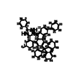 CC1C=C(C2NC(c3ccccc3)NN2n2c3ccc(-c4ccccc4)cc3c3c4c(ccc32)C(c2ccccc2)(c2ccccc2)c2ccccc2-4)C=CC1